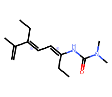 C=C(C)/C(=C/C=C(\CC)NC(=O)N(C)C)CC